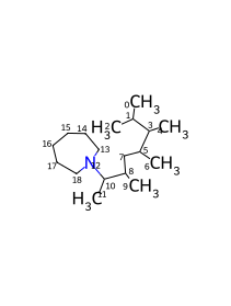 CC(C)C(C)C(C)CC(C)C(C)N1CCCCCC1